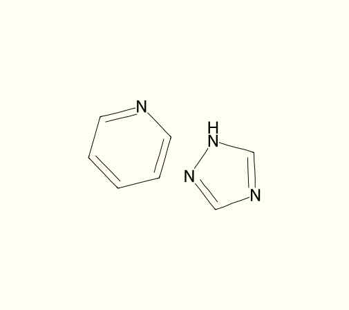 c1ccncc1.c1nc[nH]n1